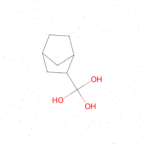 OC(O)(O)C1CC2CCC1C2